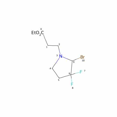 CCOC(=O)CCN1CCC(F)(F)C1Br